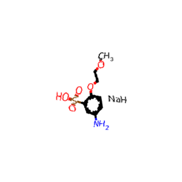 COCCOc1ccc(N)cc1S(=O)(=O)O.[NaH]